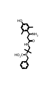 Cc1cc(O)cc(C)c1C(N)CC(=O)NCC(C)(C)N(Cc1ccccc1)C(=O)O